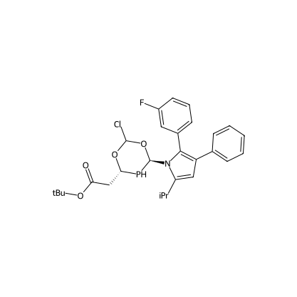 CC(C)c1cc(-c2ccccc2)c(-c2cccc(F)c2)n1[C@@H]1OC(Cl)O[C@@H](CC(=O)OC(C)(C)C)P1